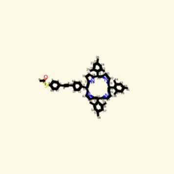 CC(=O)Sc1ccc(C#Cc2ccc(C3=C4C=CC(=N4)C(c4c(C)cc(C)cc4C)=C4C=CC(=N4)C(c4c(C)cc(C)cc4C)=C4C=CC(=N4)C(c4c(C)cc(C)cc4C)=C4C=CC3=N4)cc2)cc1